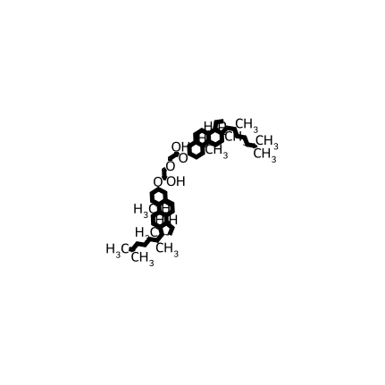 CC(C)CCC[C@@H](C)[C@H]1CC[C@H]2[C@@H]3CC=C4C[C@@H](OC(O)COCC(O)O[C@H]5CC[C@@]6(C)C(=CC[C@H]7[C@@H]8CC[C@H]([C@H](C)CCCC(C)C)[C@@]8(C)CC[C@@H]76)C5)CC[C@]4(C)[C@H]3CC[C@]12C